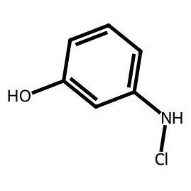 Oc1cccc(NCl)c1